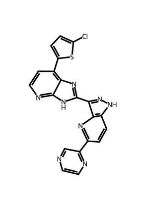 Clc1ccc(-c2ccnc3[nH]c(-c4n[nH]c5ccc(-c6cnccn6)nc45)nc23)s1